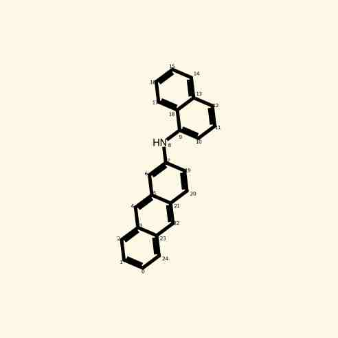 c1ccc2cc3cc(Nc4cccc5ccccc45)ccc3cc2c1